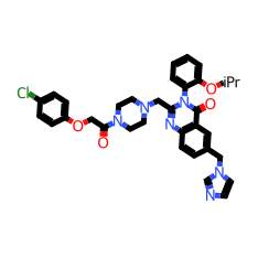 CC(C)Oc1ccccc1-n1c(CN2CCN(C(=O)COc3ccc(Cl)cc3)CC2)nc2ccc(Cn3ccnc3)cc2c1=O